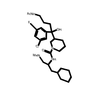 CNCC(CC1CCCCC1)NC(=O)N1CCCC(C(O)(CCCNC(C)=O)c2cc(F)cc(Cl)c2)C1